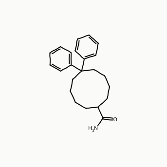 NC(=O)C1CCCCC(c2ccccc2)(c2ccccc2)CCCC1